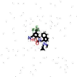 CCN(CC1CC1)c1ccc2c(c1CN(Cc1cc(C#N)cc(C(F)(F)F)c1)C(=O)O)CCCC2